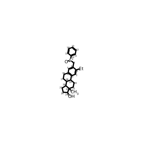 CCc1cc2c(cc1C[S+]([O-])c1ccccc1)CCC1C2CCC2(C)C(O)CCC12